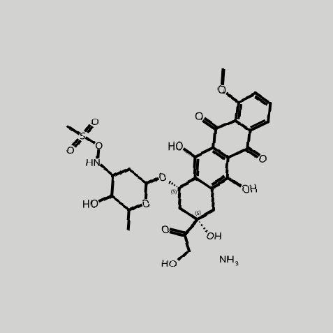 COc1cccc2c1C(=O)c1c(O)c3c(c(O)c1C2=O)C[C@@](O)(C(=O)CO)C[C@@H]3OC1CC(NOS(C)(=O)=O)C(O)C(C)O1.N